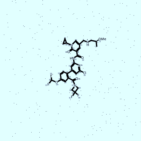 CO[C@@H](C)CNCc1cc(C(=O)Nc2cc(-c3ccc(OC(F)F)cc3C(=O)N3CC(F)(F)C3)cc(Cl)n2)c(=O)n(C2CC2)c1